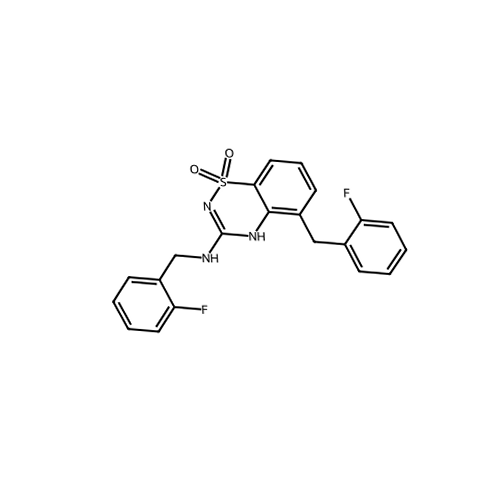 O=S1(=O)N=C(NCc2ccccc2F)Nc2c(Cc3ccccc3F)cccc21